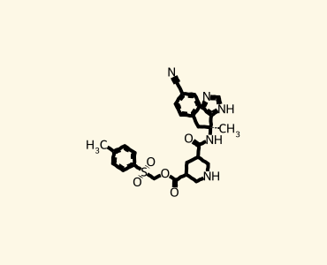 Cc1ccc(S(=O)(=O)COC(=O)C2CNCC(C(=O)N[C@@](C)(Cc3ccc(C#N)cc3)c3cnc[nH]3)C2)cc1